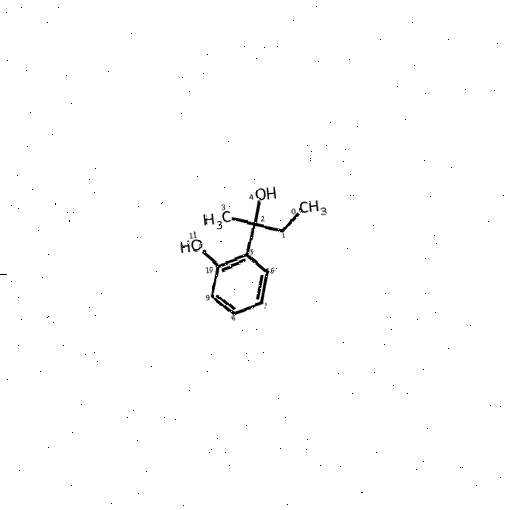 CCC(C)(O)c1[c]cccc1O